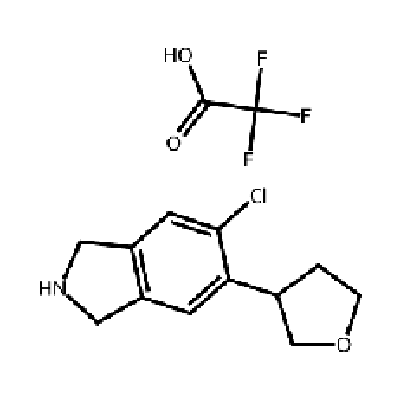 Clc1cc2c(cc1C1CCOC1)CNC2.O=C(O)C(F)(F)F